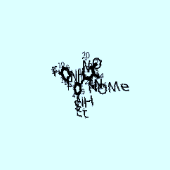 CCSNc1ccc(Nc2ccc(F)cc2F)c(-c2cn(C)c(=O)c3cn(OC)nc23)c1